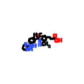 Cc1cc(C=CC(=O)O)cc(C)c1NC(=O)c1cccc(NC2=NCCCN2)c1